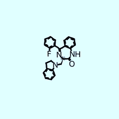 O=C1Nc2ccccc2C(c2ccccc2F)=N[C@@H]1CN1CCc2ccccc21